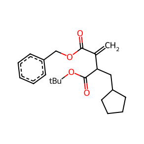 C=C(C(=O)OCc1ccccc1)C(CC1CCCC1)C(=O)OC(C)(C)C